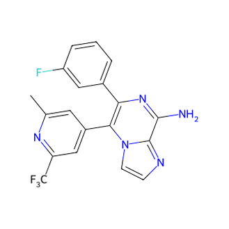 Cc1cc(-c2c(-c3cccc(F)c3)nc(N)c3nccn23)cc(C(F)(F)F)n1